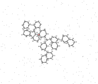 c1ccc(-c2cccc(-c3ccc(N(c4cccc(-c5cccc6ccccc56)c4)c4ccc(-c5ccc6ccccc6c5)c5ccccc45)cc3)c2-n2c3ccccc3c3ccccc32)cc1